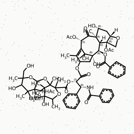 COC1(C)C(O)C(C)(CO)OC(OC2(C)C(C)(C(=O)O[C@H](C(=O)OC3C[C@]4(O)[C@H](OC(=O)c5ccccc5)[C@H]5[C@@]6(OC(C)=O)CO[C@H]6C[C@@H](O)[C@]5(C)C(=O)[C@@H](OC(C)=O)C(=C3C)C4(C)C)[C@H](NC(=O)c3ccccc3)c3ccccc3)OC(C)C(C)(O)C2(C)O)C1(C)NC(C)=O